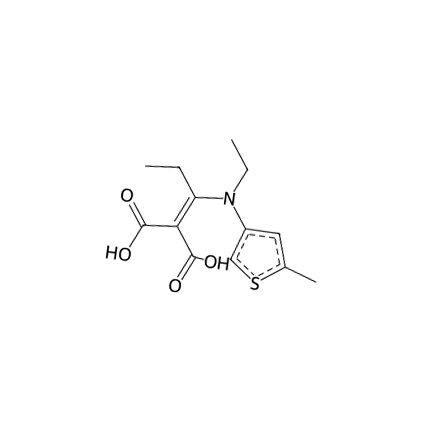 CCC(=C(C(=O)O)C(=O)O)N(CC)c1csc(C)c1